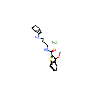 COc1c(C(=O)NCCCNC2CC3CCC2C3)sc2ccccc12.Cl